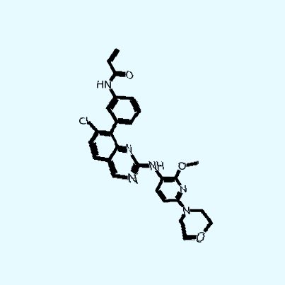 C=CC(=O)Nc1cccc(-c2c(Cl)ccc3cnc(Nc4ccc(N5CCOCC5)nc4OC)nc23)c1